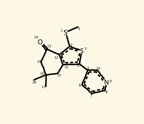 CSc1sc(-c2cccnc2)c2c1C(=O)CC(C)(C)C2